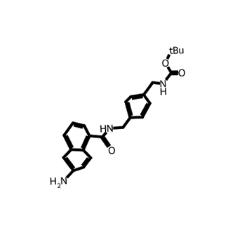 CC(C)(C)OC(=O)NCc1ccc(CNC(=O)c2cccc3cc(N)ccc23)cc1